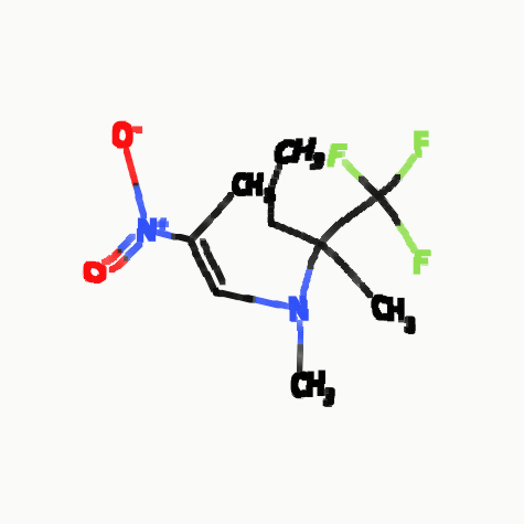 CCC(C)(N(C)/C=C(\C)[N+](=O)[O-])C(F)(F)F